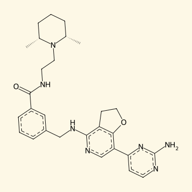 C[C@@H]1CCC[C@H](C)N1CCNC(=O)c1cccc(CNc2ncc(-c3ccnc(N)n3)c3c2CCO3)c1